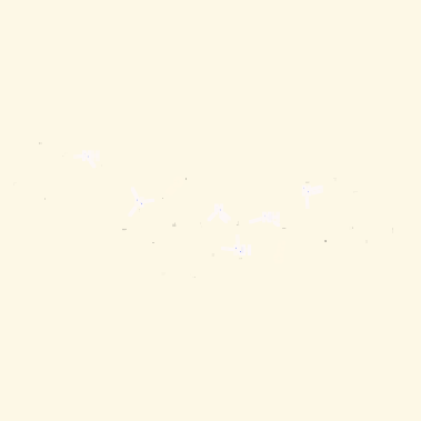 O=C(Nc1nc2c(C(=O)N3CCc4c([nH]c5ccccc45)C3)cccc2[nH]1)c1cc2ccccc2cn1